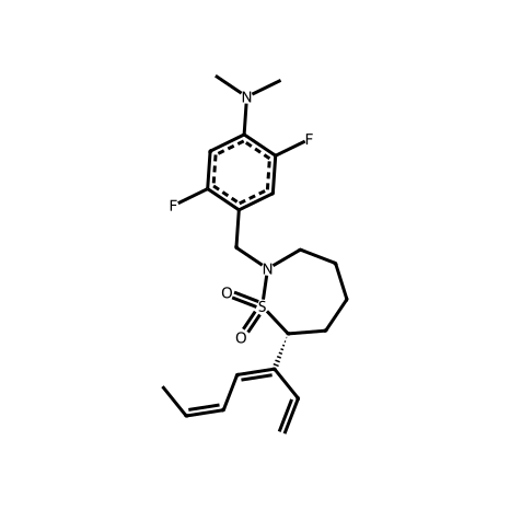 C=C/C(=C\C=C/C)[C@H]1CCCCN(Cc2cc(F)c(N(C)C)cc2F)S1(=O)=O